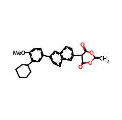 C=C1OC(=O)C(c2ccc3cc(-c4ccc(OC)c(C5CCCCC5)c4)ccc3c2)C(=O)O1